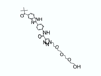 CC(C)(C)C(=O)c1ccc2[nH]c(-c3ccc(NC(=O)c4cn(CCOCCOCCOCCO)nn4)cc3)nc2c1